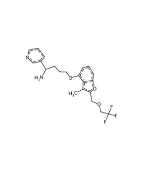 Cc1c(COCC(F)(F)F)oc2cccc(OCCCC(N)c3cccnc3)c12